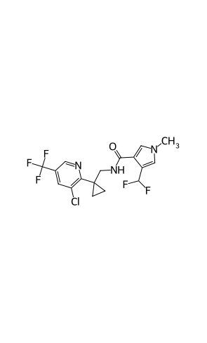 Cn1cc(C(=O)NCC2(c3ncc(C(F)(F)F)cc3Cl)CC2)c(C(F)F)c1